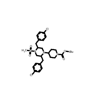 CC(C)(C)OC(=O)N1CCC(N2CC(Cc3ccc(Cl)cc3)N(S(C)(=O)=O)CC2Cc2ccc(Cl)cc2)CC1